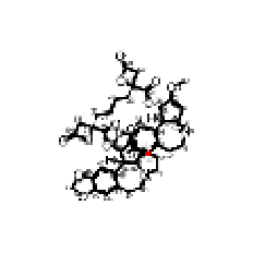 COC1=C[C@]23CCCN2CCc2cc4c(cc2[C@@H]3[C@@H]1OC(=O)[C@@]1(CCCC[C@]2(C(=O)O[C@@H]3C(OC)=C[C@]56CCCN5CCc5cc7c(cc5[C@H]36)OCO7)CC(=O)O2)CC(=O)O1)OCO4